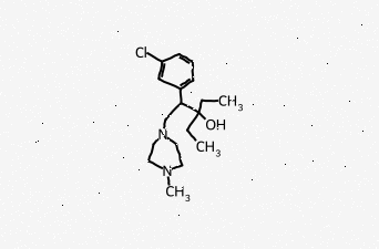 CCC(O)(CC)C(CN1CCN(C)CC1)c1cccc(Cl)c1